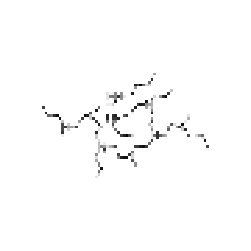 CCCCNCCN(CCN(C)CCC)CCN(CCC)CCN(C)CCN(CCN(C)CCC)CCN(CCC)CCNCCC